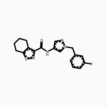 O=C(Nc1cnn(Cc2cccc(F)c2)c1)c1noc2c1CCCC2